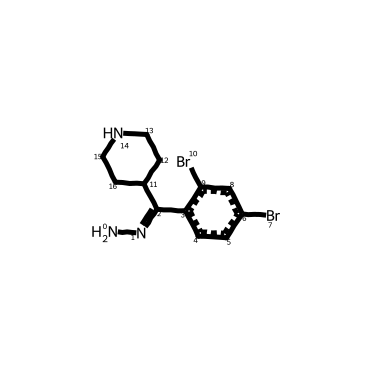 NN=C(c1ccc(Br)cc1Br)C1CCNCC1